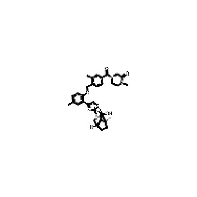 Cc1ccc(OCc2ccc(C(=O)N3CCN(C)C(=O)C3)cc2C)c(-c2csc(N3C[C@H]4CC[C@@H](C3)[C@H]4C(=O)O)n2)c1